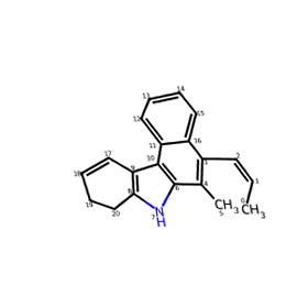 C/C=C\c1c(C)c2[nH]c3c(c2c2ccccc12)C=CCC3